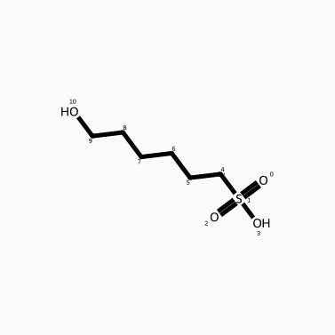 O=S(=O)(O)[CH]CCCCCO